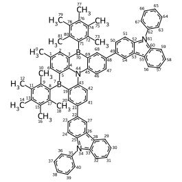 Cc1cc2c3c(c1)B(c1c(C)c(C)c(C)c(C)c1C)c1cc(-c4ccc5c(c4)c4ccccc4n5-c4ccccc4)ccc1N3c1ccc(-c3ccc4c(c3)c3ccccc3n4-c3ccccc3)cc1B2c1c(C)c(C)c(C)c(C)c1C